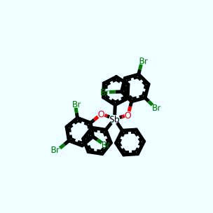 Brc1cc(Br)c([O][Sb]([O]c2c(Br)cc(Br)cc2Br)([c]2ccccc2)([c]2ccccc2)[c]2ccccc2)c(Br)c1